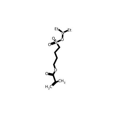 C=C(C)C(=O)OCCCCS(=O)(=O)ON(CC)CC